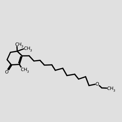 CCOCCCCCCCCCCCCC1=C(C)C(=O)CCC1(C)C